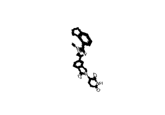 Cn1cc(-c2ccc3c(c2)CN(C2CCC(=O)NC2=O)C3=O)nc1-c1cccc2c1CCC2